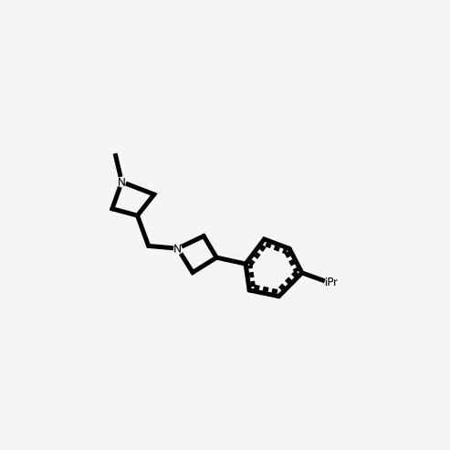 CC(C)c1ccc(C2CN(CC3CN(C)C3)C2)cc1